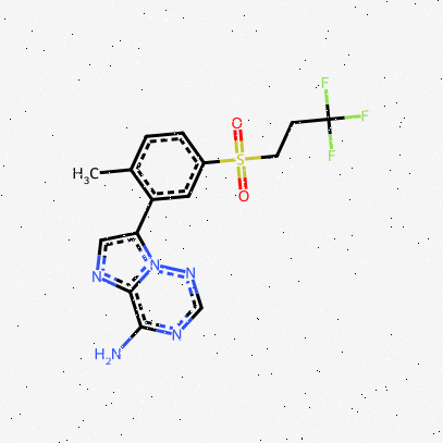 Cc1ccc(S(=O)(=O)CCC(F)(F)F)cc1-c1cnc2c(N)ncnn12